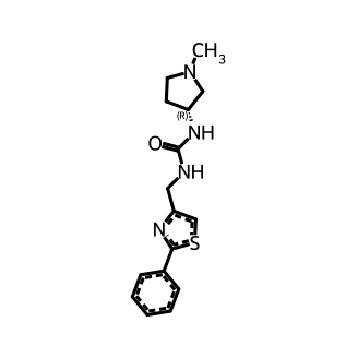 CN1CC[C@@H](NC(=O)NCc2csc(-c3ccccc3)n2)C1